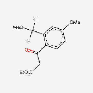 [2H]C([2H])(OC)c1cc(OC)ccc1C(=O)CC(=O)OCC